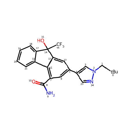 CC(C)(C)Cn1cc(-c2cc(C(N)=O)c3c(c2)C(O)(C(F)(F)F)c2ccccc2-3)cn1